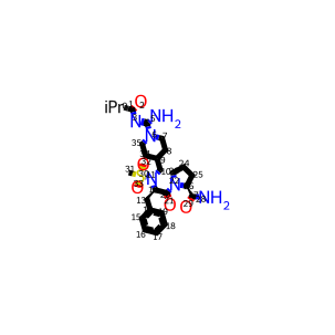 CC(C)C(=O)N=C(N)N1CCC(CN([C@H](Cc2ccccc2)C(=O)N2CCC[C@H]2C(N)=O)S(C)(=O)=O)CC1